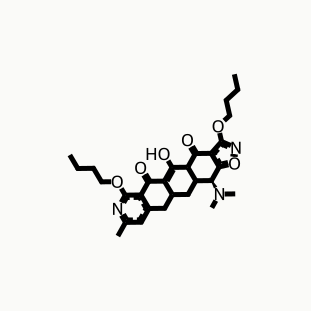 CCCCOc1nc(C)cc2c1C(=O)C1=C(O)C3C(=O)c4c(OCCCC)noc4[C@@H](N(C)C)C3CC1C2